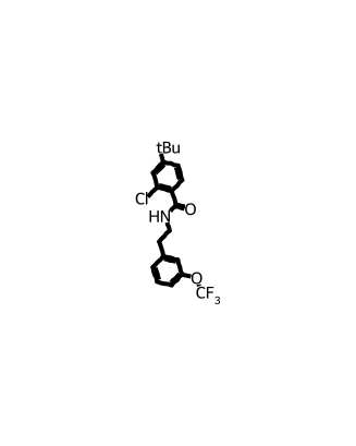 CC(C)(C)c1ccc(C(=O)NCCc2cccc(OC(F)(F)F)c2)c(Cl)c1